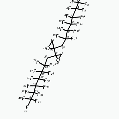 FC(F)(F)C(F)(F)C(F)(F)C(F)(F)C(F)(F)C(F)(F)CC1(C2(CC(F)(F)C(F)(F)C(F)(F)C(F)(F)C(F)(F)C(F)(F)F)CO2)CO1